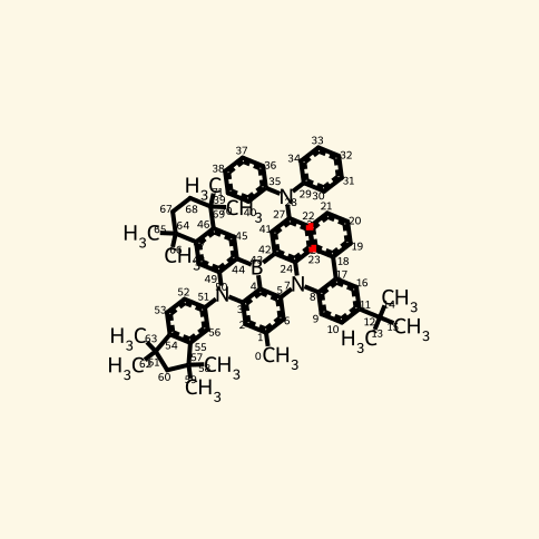 Cc1cc2c3c(c1)N(c1ccc(C(C)(C)C)cc1-c1ccccc1)c1ccc(N(c4ccccc4)c4ccccc4)cc1B3c1cc3c(cc1N2c1ccc2c(c1)C(C)(C)CC2(C)C)C(C)(C)CCC3(C)C